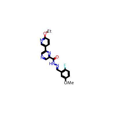 CCOc1ccc(-c2cncc(C(=O)N/N=C/c3cc(OC)ccc3F)n2)cn1